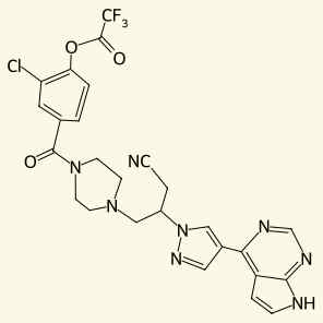 N#CCC(CN1CCN(C(=O)c2ccc(OC(=O)C(F)(F)F)c(Cl)c2)CC1)n1cc(-c2ncnc3[nH]ccc23)cn1